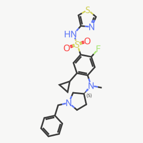 CN(c1cc(F)c(S(=O)(=O)Nc2cscn2)cc1C1CC1)[C@H]1CCN(Cc2ccccc2)C1